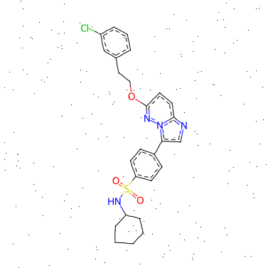 O=S(=O)(NC1CCCCC1)c1ccc(-c2cnc3ccc(OCCc4cccc(Cl)c4)nn23)cc1